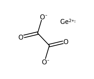 O=C([O-])C(=O)[O-].[Ge+2]